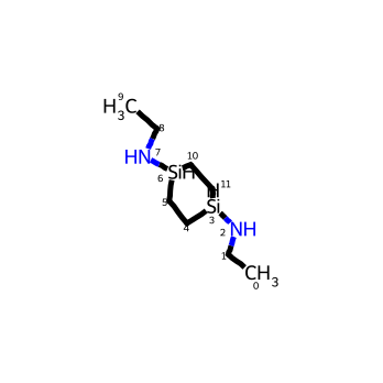 CCN[SiH]1CC[SiH](NCC)CC1